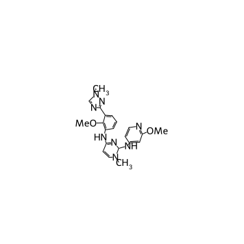 COc1cc(NC2N=C(Nc3cccc(-c4ncn(C)n4)c3OC)C=CN2C)ccn1